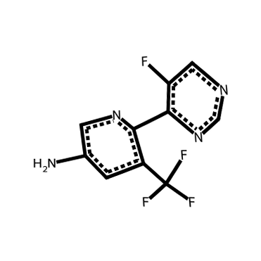 Nc1cnc(-c2ncncc2F)c(C(F)(F)F)c1